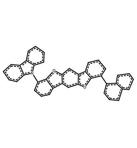 c1ccc2c(-c3cccc4c3oc3cc5c(cc34)oc3c(-n4c6ccccc6c6ccccc64)cccc35)cccc2c1